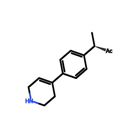 CC(=O)[C@@H](C)c1ccc(C2=CCNCC2)cc1